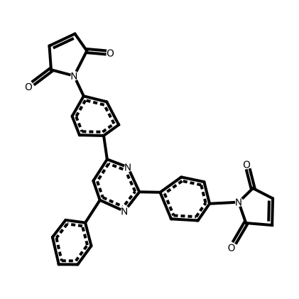 O=C1C=CC(=O)N1c1ccc(-c2cc(-c3ccccc3)nc(-c3ccc(N4C(=O)C=CC4=O)cc3)n2)cc1